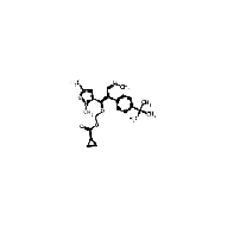 C/N=C\C(=C(\OCOC(=O)C1CC1)c1cc(C)nn1C)c1ccc(C(C)(C)C)cc1